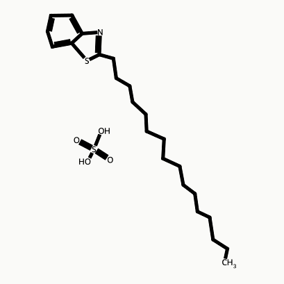 CCCCCCCCCCCCCCCCc1nc2ccccc2s1.O=S(=O)(O)O